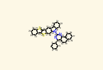 c1ccc(-c2nc(-n3c4ccccc4c4cc5c(cc43)sc3c4ccccc4sc53)nc3c2ccc2ccccc23)cc1